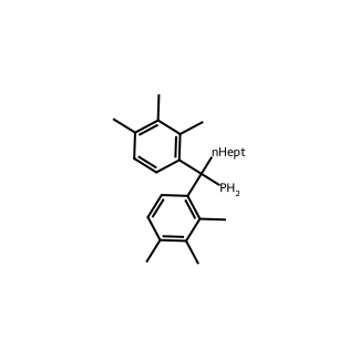 CCCCCCCC(P)(c1ccc(C)c(C)c1C)c1ccc(C)c(C)c1C